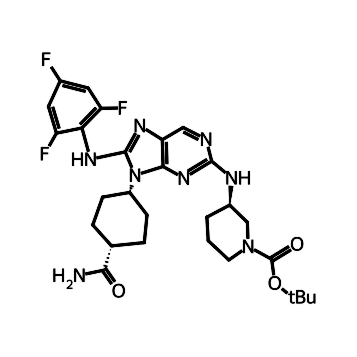 CC(C)(C)OC(=O)N1CCC[C@@H](Nc2ncc3nc(Nc4c(F)cc(F)cc4F)n([C@H]4CC[C@@H](C(N)=O)CC4)c3n2)C1